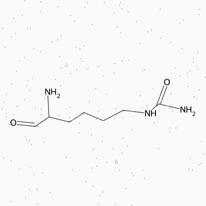 NC(=O)NCCCCC(N)[C]=O